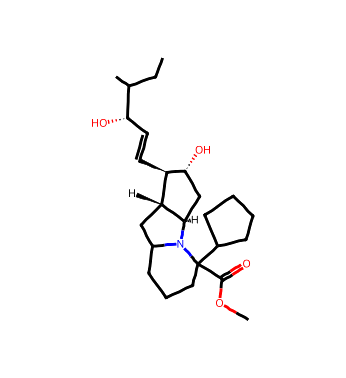 CCC(C)[C@@H](O)/C=C/[C@@H]1[C@H]2CC3CCCC(C(=O)OC)(C4CCCC4)N3[C@@H]2C[C@H]1O